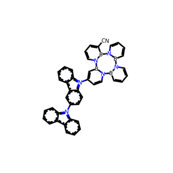 N#CC1=CC=CN2B3C=C(n4c5ccccc5c5cc(-n6c7ccccc7c7ccccc76)ccc54)C=CN3B3C=CC=CN3B3C=CC=CN3B12